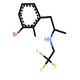 Cc1c(Br)cccc1CC(C)NCC(F)(F)F